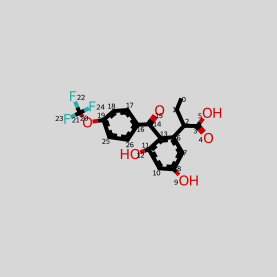 CCC(C(=O)O)c1cc(O)cc(O)c1C(=O)c1ccc(OC(F)(F)F)cc1